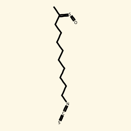 CC(CCCCCCCCCN=C=S)=S=O